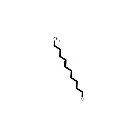 CCCC/C=C/CCCCC[O]